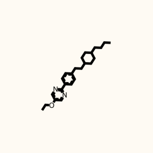 CCCCC1CCC(CCc2ccc(-c3ncc(OCC)cn3)cc2)CC1